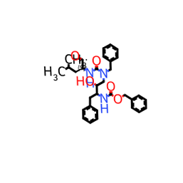 CC(C)C[C@@H]([C]=O)NC(=O)N(Cc1ccccc1)CC(O)C(Cc1ccccc1)NC(=O)OCc1ccccc1